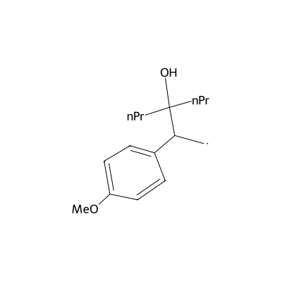 [CH2]C(c1ccc(OC)cc1)C(O)(CCC)CCC